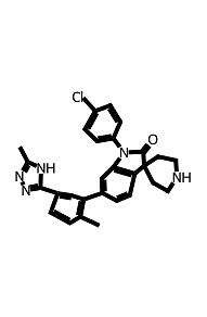 Cc1nnc(-c2ccc(C)c(-c3ccc4c(c3)N(c3ccc(Cl)cc3)C(=O)C43CCNCC3)c2)[nH]1